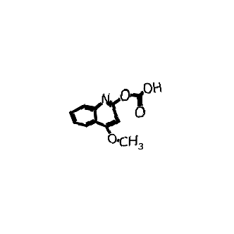 COc1cc(OC(=O)O)nc2ccccc12